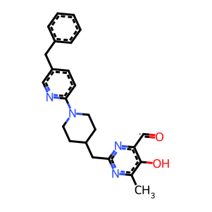 Cc1nc(CC2CCN(c3ccc(Cc4ccccc4)cn3)CC2)nc([C]=O)c1O